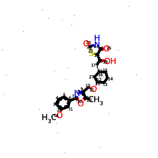 COc1cccc(-c2nc(CO[C@H]3CCC[C@@H](CC(O)C4SC(=O)NC4=O)C3)c(C)o2)c1